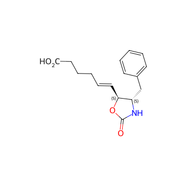 O=C(O)CCCC=C[C@@H]1OC(=O)N[C@H]1Cc1ccccc1